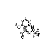 COc1cccc2nc(C(F)(F)F)nc(C=O)c12